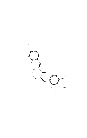 COc1ccc(/C=C2\CSC/C(=C/c3ccc(OC)c(OC)c3OC)C2=O)c(OC)c1OC